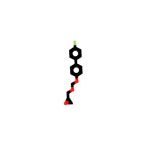 Fc1ccc(-c2ccc(OCOCC3CO3)cc2)cc1